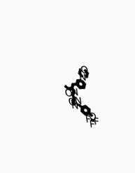 Cc1oc(-c2nc(-c3ccc(OC(F)(F)F)cc3)no2)nc1Cc1cccc(N2CCOCC2)c1